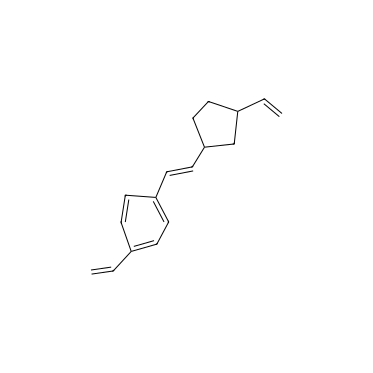 C=Cc1ccc(C=CC2CCC(C=C)C2)cc1